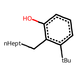 CCCCCCCCc1c(O)cccc1C(C)(C)C